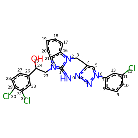 N=c1n(Cc2cn(-c3cccc(Cl)c3)nn2)c2ccccc2n1CC(O)c1ccc(Cl)c(Cl)c1